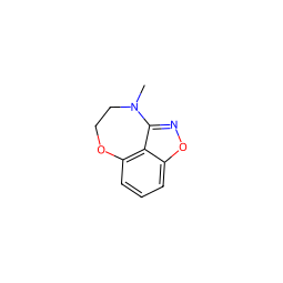 CN1CCOc2cccc3onc1c23